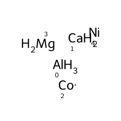 [AlH3].[CaH2].[Co].[MgH2].[Ni]